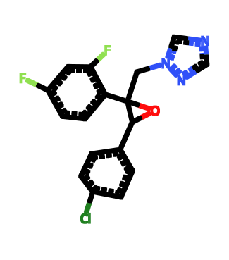 Fc1ccc(C2(Cn3cncn3)OC2c2ccc(Cl)cc2)c(F)c1